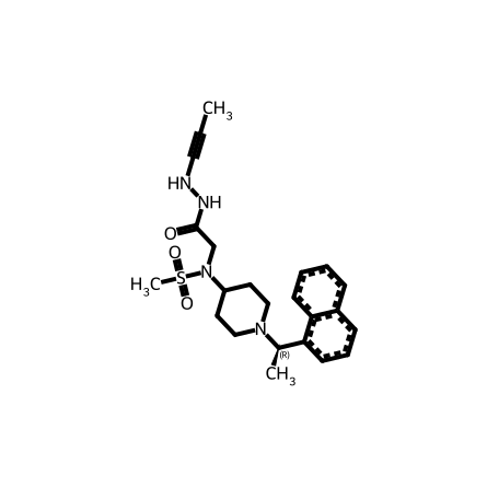 CC#CNNC(=O)CN(C1CCN([C@H](C)c2cccc3ccccc23)CC1)S(C)(=O)=O